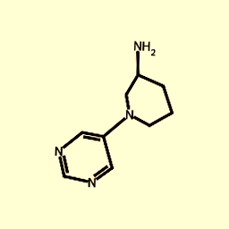 NC1CCCN(c2cncnc2)C1